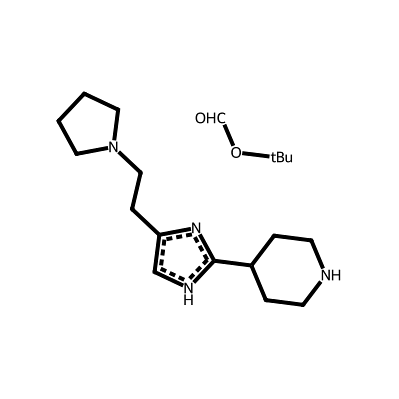 CC(C)(C)OC=O.c1[nH]c(C2CCNCC2)nc1CCN1CCCC1